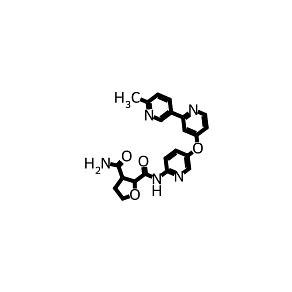 Cc1ccc(-c2cc(Oc3ccc(NC(=O)C4OCCC4C(N)=O)nc3)ccn2)cn1